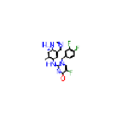 C/N=C\C1=CC(Nc2nc(=O)c(F)cn2Cc2ccc(F)c(F)c2)=C(C)CC1N